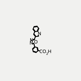 O=C(O)c1cccc(-c2nnc(-c3cnc4ccccc4c3)o2)c1